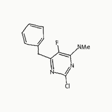 CNc1nc(Cl)nc(Cc2ccccc2)c1F